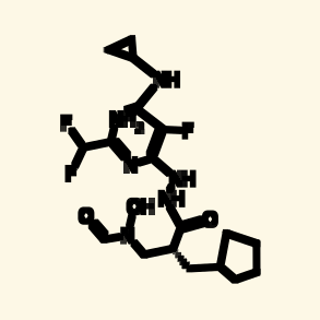 C=C(NC1CC1)/C(F)=C(\N=C(/N)C(F)F)NNC(=O)[C@H](CC1CCCC1)CN(O)C=O